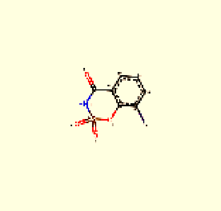 O=C1NS(=O)(=O)Oc2c(I)cccc21